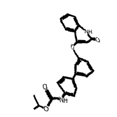 CC(C)OC(=O)Nc1ccc(-c2cccc(Oc3cc(=O)[nH]c4ccccc34)c2)cc1